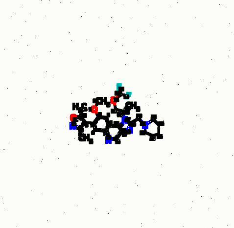 COc1cc2c(cc1-c1c(C)noc1C)ncc1nc(CN3CCCCC3)n([C@@H](C)COC(F)F)c12